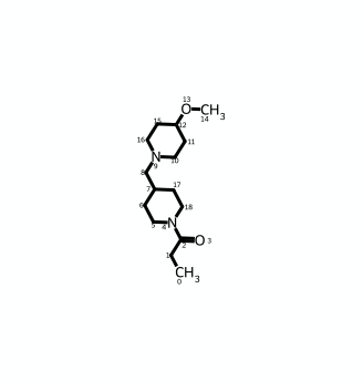 CCC(=O)N1CCC(CN2CCC(OC)CC2)CC1